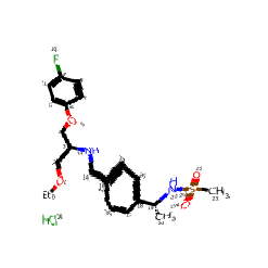 CCOCC(COc1ccc(F)cc1)NCc1ccc([C@@H](C)NS(C)(=O)=O)cc1.Cl